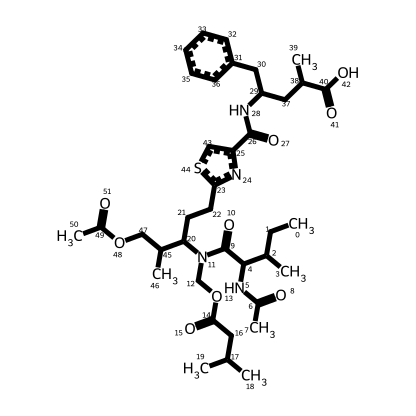 CCC(C)C(NC(C)=O)C(=O)N(COC(=O)CC(C)C)C(CCc1nc(C(=O)NC(Cc2ccccc2)CC(C)C(=O)O)cs1)C(C)COC(C)=O